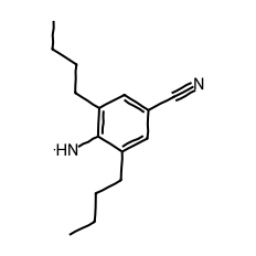 CCCCc1cc(C#N)cc(CCCC)c1[NH]